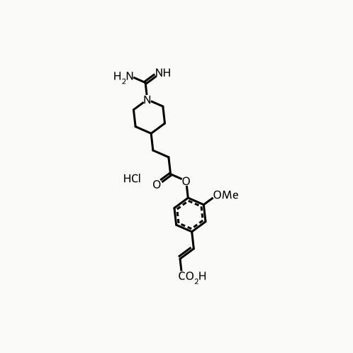 COc1cc(C=CC(=O)O)ccc1OC(=O)CCC1CCN(C(=N)N)CC1.Cl